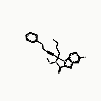 CCCCC1(C#CCCc2ccccc2)N(OC)C(=O)c2cc3cc(Br)ccc3n21